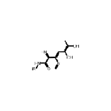 C=N/C(=C\C(O)=C(/C)O)C(=N)C(=O)NC(C)C